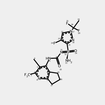 Cc1c(C(F)(F)F)nc2c(c1NC(=O)N=[S@@](N)(=O)c1nn(C(C)(F)F)cc1F)CCC2